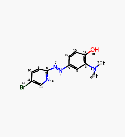 CCN(CC)c1cc(N=Nc2ccc(Br)cn2)ccc1O